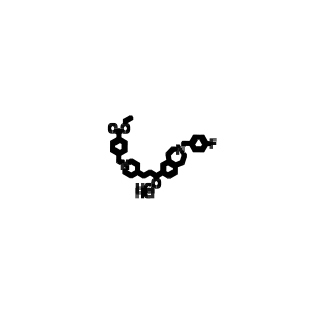 CCOC(=O)c1ccc(CN2CCC(CCC(=O)c3ccc4c(c3)CCN(Cc3ccc(F)cc3)CC4)CC2)cc1.Cl.Cl